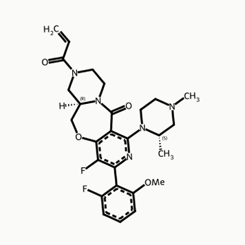 C=CC(=O)N1CCN2C(=O)c3c(N4CCN(C)C[C@@H]4C)nc(-c4c(F)cccc4OC)c(F)c3OC[C@H]2C1